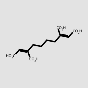 O=C(O)/C=C(/CCCC/C(=C/C(=O)O)C(=O)O)C(=O)O